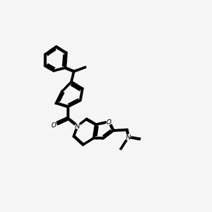 CC(c1ccccc1)c1ccc(C(=O)N2CCc3cc(CN(C)C)oc3C2)cc1